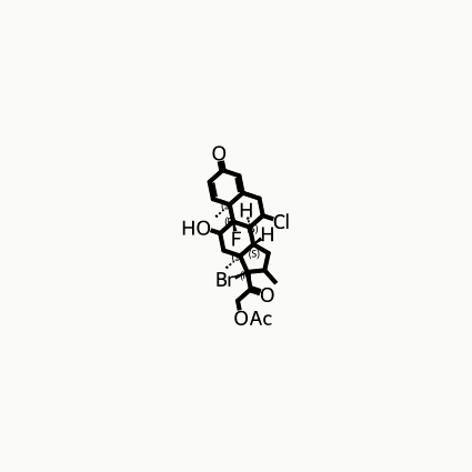 CC(=O)OCC(=O)[C@@]1(Br)C(C)C[C@H]2[C@@H]3C(Cl)CC4=CC(=O)C=C[C@]4(C)[C@@]3(F)C(O)C[C@@]21C